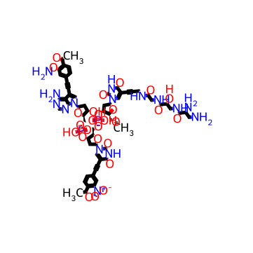 COC[C@H]1O[C@@H](n2cc(C#CCNC(=O)CNC(=O)C(O)CNC(=O)C(N)CN)c(=O)[nH]c2=O)C[C@@H]1OP(=O)(O)OC[C@H]1O[C@@H](n2cc(C#Cc3ccc(C(C)=O)c([N+](=O)[O-])c3)c(=O)[nH]c2=O)C[C@@H]1OP(=O)(O)OC[C@H]1O[C@@H](n2cc(C#Cc3ccc(C(C)=O)c(ON)c3)c3c(N)ncnc32)C[C@@H]1O